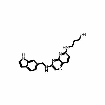 OCCCNc1ccc2ncc(NCc3ccc4cc[nH]c4c3)nc2n1